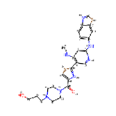 CC(C)Nc1cc(Nc2ccc3ncsc3c2)ncc1-c1nc(C(=O)N2CCN(CCCO)CC2)cs1